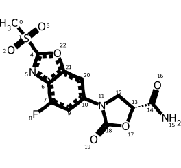 CS(=O)(=O)c1nc2c(F)cc(N3C[C@H](C(N)=O)OC3=O)cc2o1